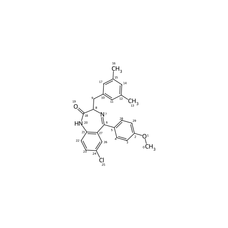 COc1ccc(C2=NC(Cc3cc(C)cc(C)c3)C(=O)Nc3ccc(Cl)cc32)cc1